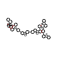 CC1(C)c2ccccc2-c2cccc(N(c3ccc(-c4ccc5oc6cc(-c7ccc8c(ccc9c8oc8cccc(-c%10ccccc%10N(c%10ccc(-c%11cccc%12c%11sc%11ccccc%11%12)cc%10)c%10cccc%11c%10C(C)(C)c%10ccccc%10-%11)c89)c7)ccc6c5c4)cc3)c3ccccc3-c3cccc4oc5c6ccccc6ccc5c34)c21